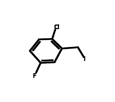 Fc1ccc(Cl)c(CI)c1